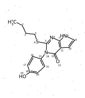 CCCCSc1nc2[nH]ccc2c(=O)n1-c1ccc(O)cc1